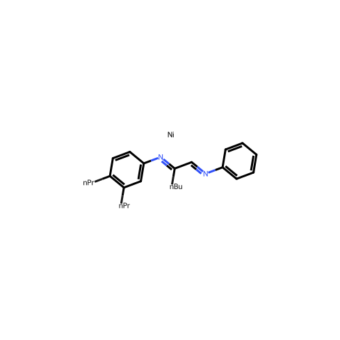 CCCCC(/C=N/c1ccccc1)=N\c1ccc(CCC)c(CCC)c1.[Ni]